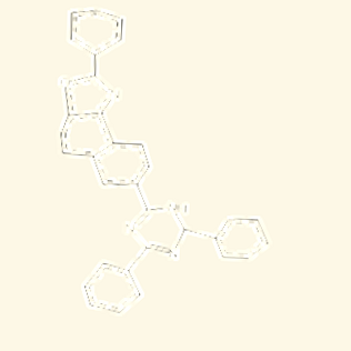 c1ccc(C2=NC(c3ccccc3)NC(c3ccc4c(ccc5oc(-c6ccccc6)nc54)c3)=N2)cc1